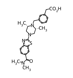 C[C@@H]1CN(c2nc3ccc(C(=O)N(C)C)cc3s2)C[C@H](C)N1Cc1cccc(CC(=O)O)c1